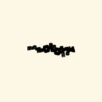 COCCNc1ccc(S(=O)(=O)Oc2ccc3[nH]c(NC(=O)C4CC4)nc3c2)cc1